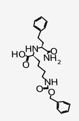 NC(=O)[C@H](CCc1ccccc1)N[C@@H](CCCCNC(=O)OCc1ccccc1)C(=O)O